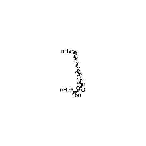 CCCCCCOCCOCCOCCOCCCC(=O)OCC(CCCC)CCCCCC